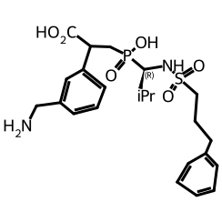 CC(C)[C@H](NS(=O)(=O)CCCc1ccccc1)P(=O)(O)CC(C(=O)O)c1cccc(CN)c1